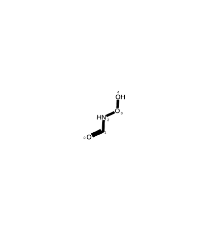 O=CNOO